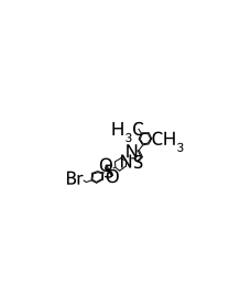 Cc1cc(C)cc(-c2csc(N3CCC(S(=O)(=O)c4ccc(CBr)cc4)CC3)n2)c1